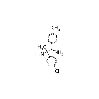 Cc1ccc([C@@H](N)[C@@](C)(N)c2ccc(Cl)cc2)cc1